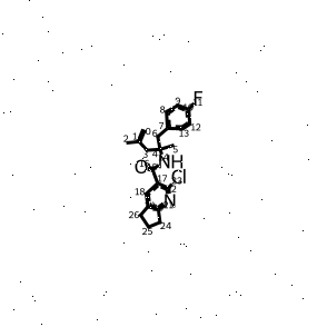 C=C(C)CC(C)(Cc1ccc(F)cc1)NC(=O)c1cc2c(nc1Cl)CCC2